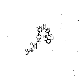 C=CC(=O)NCCC(=O)NCC(=O)N1CCN(c2cc(Nc3ncc(C(=O)Nc4c(C)cccc4Cl)s3)nc(C)n2)CC1